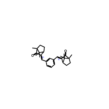 CC12CCC(/C(=C\c3cccc(/C=C4/C(=O)C5(C)CCC4C5(C)C)c3)C1=O)C2(C)C